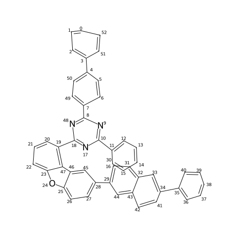 c1ccc(-c2ccc(-c3nc(-c4ccccc4)nc(-c4cccc5oc6ccc(-c7ccc8cc(-c9ccccc9)ccc8c7)cc6c45)n3)cc2)cc1